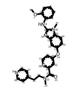 COc1ccccc1Nc1nc2cc(Oc3ccnc(C(=O)N(C)CCc4ccncc4)c3)ccc2n1C